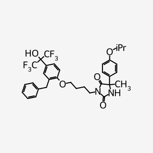 CC(C)Oc1ccc(C2(C)NC(=O)N(CCCCOc3ccc(C(O)(C(F)(F)F)C(F)(F)F)cc3Cc3ccccc3)C2=O)cc1